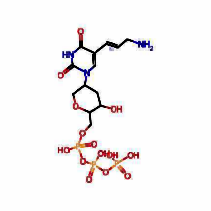 NC/C=C/c1cn(C2COC(COP(=O)(O)OP(=O)(O)OP(=O)(O)O)C(O)C2)c(=O)[nH]c1=O